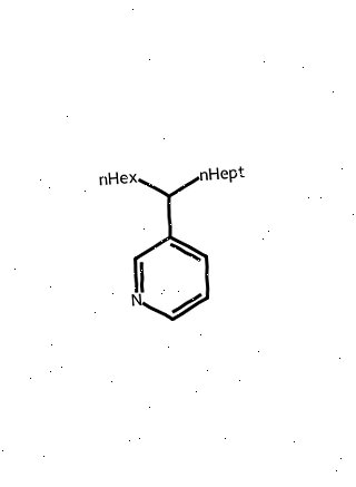 CCCCCCCC(CCCCCC)c1cccnc1